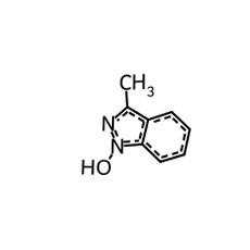 Cc1nn(O)c2ccccc12